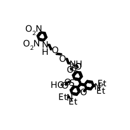 CCN(CC)c1ccc2c(-c3ccc(S(=O)(=O)NCCOCCOCCNc4ccc([N+](=O)[O-])cc4[N+](=O)[O-])cc3SOOO)c3ccc(=[N+](CC)CC)cc-3oc2c1